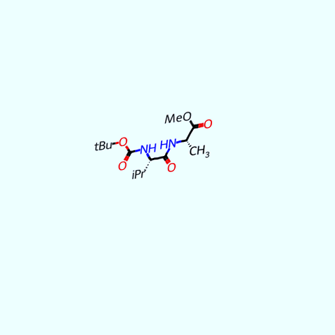 COC(=O)[C@H](C)NC(=O)[C@@H](NC(=O)OC(C)(C)C)C(C)C